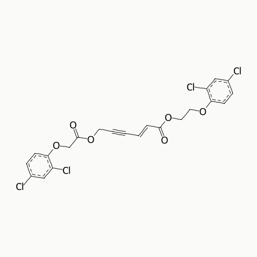 O=C(C=CC#CCOC(=O)COc1ccc(Cl)cc1Cl)OCCOc1ccc(Cl)cc1Cl